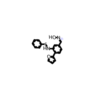 O/N=C\c1ccc(-c2ccco2)c(NSc2ccccc2)c1